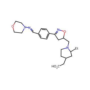 CCC1CC(CC(=O)O)CCN1CC1CC(c2ccc(C=NN3CCOCC3)cc2)=NO1